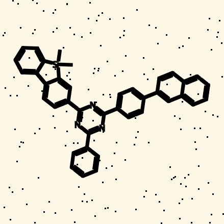 C[Si]1(C)c2ccccc2-c2ccc(-c3nc(-c4ccccc4)nc(-c4ccc(-c5ccc6ccccc6c5)cc4)n3)cc21